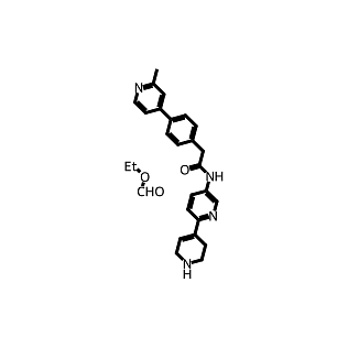 CCOC=O.Cc1cc(-c2ccc(CC(=O)Nc3ccc(C4=CCNCC4)nc3)cc2)ccn1